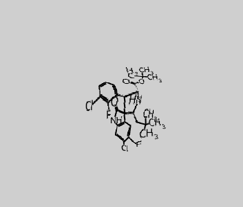 CC(C)(C)C[C@@H]1N[C@@H](C(=O)OC(C)(C)C)[C@H](c2cccc(Cl)c2F)C12C(=O)Nc1cc(Cl)c(F)cc12